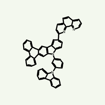 c1cc(-n2c3ccccc3c3ccccc32)cc(-n2c3ccc(-c4ccc5ccc6cccnc6c5n4)cc3c3cc4c5ccccc5c5ccccc5c4cc32)c1